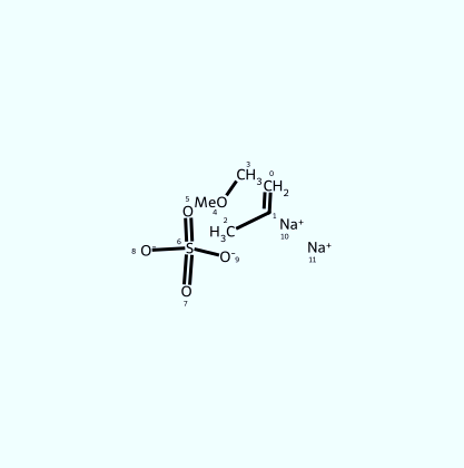 C=CC.COC.O=S(=O)([O-])[O-].[Na+].[Na+]